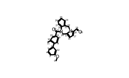 COc1cccc(-c2ccc(C(=O)N3Cc4ccc(C=O)n4Cc4ccccc43)cc2C)c1